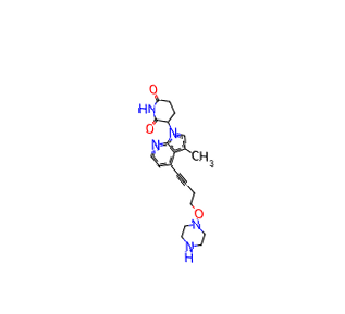 Cc1cn(C2CCC(=O)NC2=O)c2nccc(C#CCCON3CCNCC3)c12